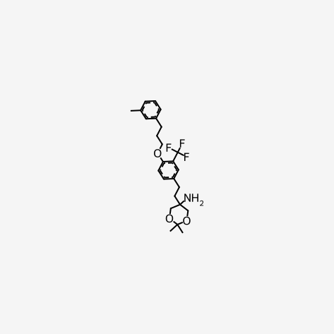 Cc1cccc(CCCOc2ccc(CCC3(N)COC(C)(C)OC3)cc2C(F)(F)F)c1